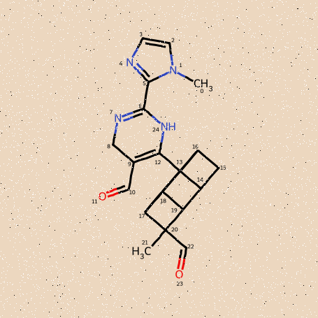 Cn1ccnc1C1=NCC(C=O)=C(C23C4CC2C2C3C4C2(C)C=O)N1